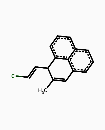 CC1=Cc2cccc3cccc(c23)C1C=CCl